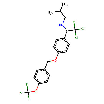 CC(C)CNC(c1ccc(OCc2ccc(OC(F)(F)F)cc2)cc1)C(Cl)(Cl)Cl